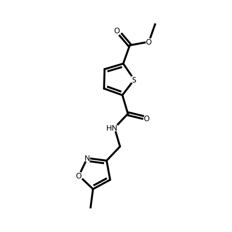 COC(=O)c1ccc(C(=O)NCc2cc(C)on2)s1